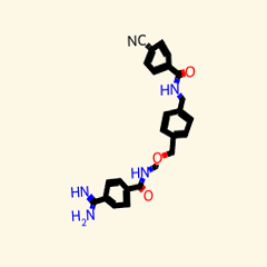 N#Cc1ccc(C(=O)NCc2ccc(COCNC(=O)c3ccc(C(=N)N)cc3)cc2)cc1